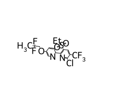 CCS(=O)(=O)c1cc(C(F)(F)F)c(Cl)nc1-c1ccc(OCC(C)(F)F)cn1